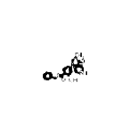 CN1CN(c2ccc(C(=O)OCc3ccccc3)cc2)C2(CCNCC2)C1=O.Cl